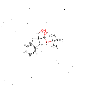 CC(C)(C)OC(=O)C1(CO)Cc2ccccc2C1